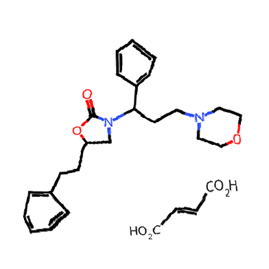 O=C(O)C=CC(=O)O.O=C1OC(CCc2ccccc2)CN1C(CCN1CCOCC1)c1ccccc1